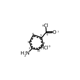 Cl.Nc1ccc(C(=O)Cl)cc1